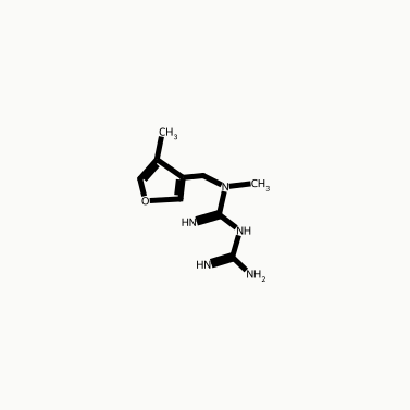 Cc1cocc1CN(C)C(=N)NC(=N)N